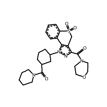 O=C(c1nn(C2CCCC(C(=O)N3CCCCC3)C2)c2c1CS(=O)(=O)c1ccccc1-2)N1CCOCC1